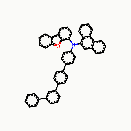 c1ccc(-c2cccc(-c3ccc(-c4ccc(N(c5cc6ccccc6c6ccccc56)c5cccc6c5oc5ccccc56)cc4)cc3)c2)cc1